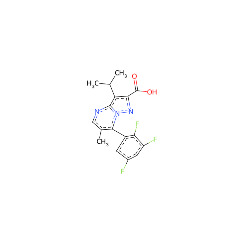 Cc1cnc2c(C(C)C)c(C(=O)O)nn2c1-c1cc(F)cc(F)c1F